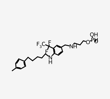 Cc1ccc(CCCCCNc2ccc(CNCCCO[PH](=O)O)cc2C(F)(F)C(F)(F)F)cc1